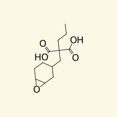 CCCC(CC1CCC2OC2C1)(C(=O)O)C(=O)O